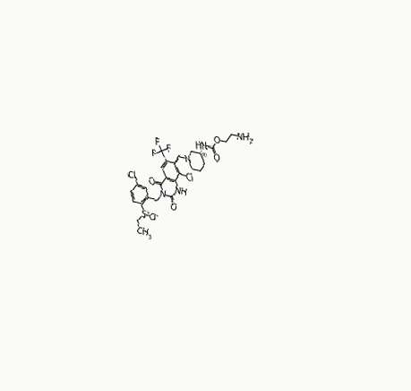 CC[S+]([O-])c1ccc(Cl)cc1Cn1c(=O)[nH]c2c(Cl)c(CN3CCC[C@@H](NC(=O)OCCN)C3)c(C(F)(F)F)cc2c1=O